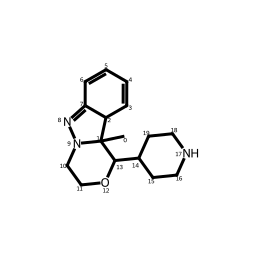 CC12C3C=CC=CC3=NN1CCOC2C1CCNCC1